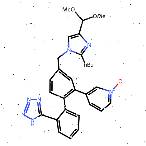 CCCCc1nc(C(OC)OC)cn1Cc1ccc(-c2ccccc2-c2nnn[nH]2)c(-c2ccc[n+]([O-])c2)c1